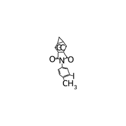 Cc1ccc(N2C(=O)C3C4CCC(C5CC54)C3C2=O)cc1I